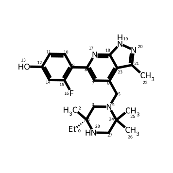 CC[C@]1(C)CN(Cc2cc(-c3ccc(O)cc3F)nc3[nH]nc(C)c23)C(C)(C)CN1